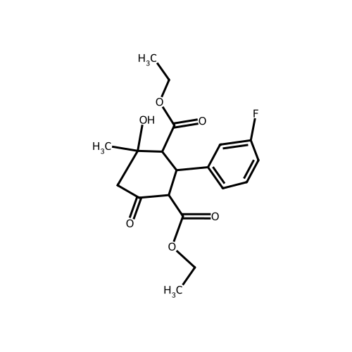 CCOC(=O)C1C(=O)CC(C)(O)C(C(=O)OCC)C1c1cccc(F)c1